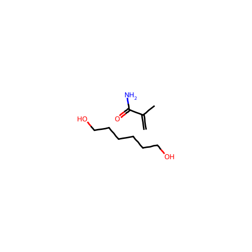 C=C(C)C(N)=O.OCCCCCCO